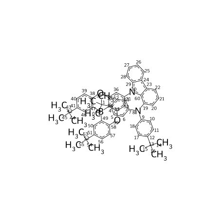 CC(C)(C)c1ccc(N(c2ccc(C(C)(C)C)cc2)c2cccc3c4ccccc4n(-c4cc5c6c(c4)Oc4ccc(C(C)(C)C)cc4B6c4cc(C(C)(C)C)ccc4O5)c23)cc1